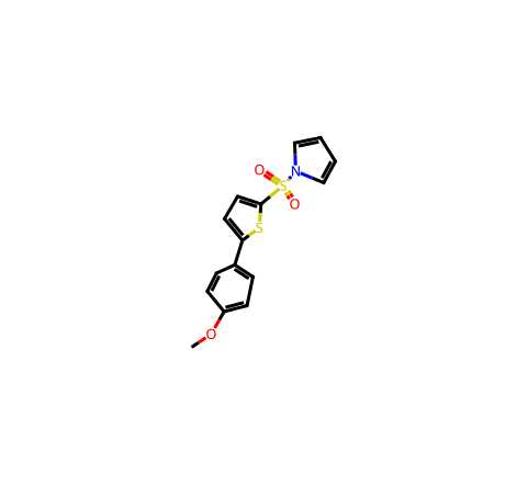 COc1ccc(-c2ccc(S(=O)(=O)n3cccc3)s2)cc1